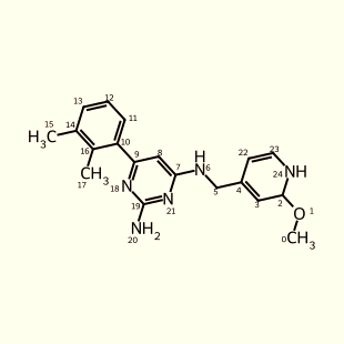 COC1C=C(CNc2cc(-c3cccc(C)c3C)nc(N)n2)C=CN1